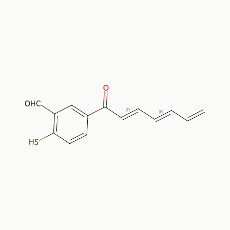 C=C/C=C/C=C/C(=O)c1ccc(S)c(C=O)c1